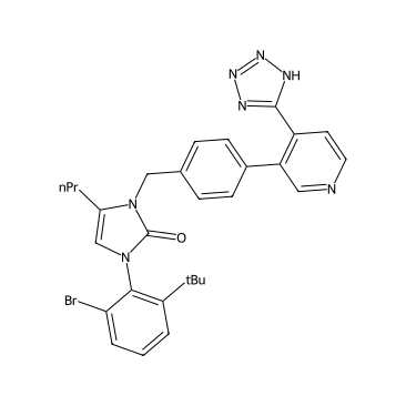 CCCc1cn(-c2c(Br)cccc2C(C)(C)C)c(=O)n1Cc1ccc(-c2cnccc2-c2nnn[nH]2)cc1